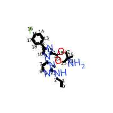 C=CCNc1nccc(-n2cc(-c3ccc(F)cc3)nc2C2OCC(C)(N)CO2)n1